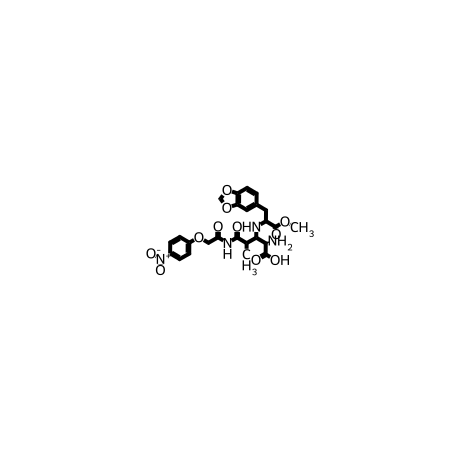 COC(=O)C(Cc1ccc2c(c1)OCO2)NC(C(C)C(=O)NC(=O)COc1ccc([N+](=O)[O-])cc1)[C@H](N)C(=O)O